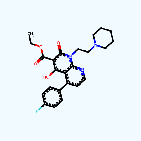 CCOC(=O)c1c(O)c2c(-c3ccc(F)cc3)ccnc2n(CCN2CCCCC2)c1=O